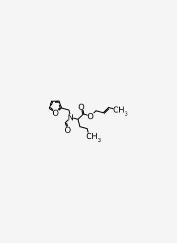 CC=CCOC(=O)C(CCC)N(C=O)Cc1ccco1